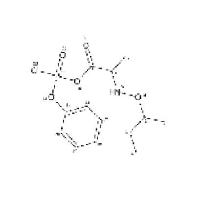 CCC(C)ONC(C)C(=O)OP(=O)(Cl)Oc1ccccc1